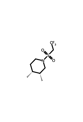 C[C@@H]1CCN(S(=O)(=O)CC(F)(F)F)C[C@@H]1C